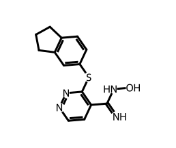 N=C(NO)c1ccnnc1Sc1ccc2c(c1)CCC2